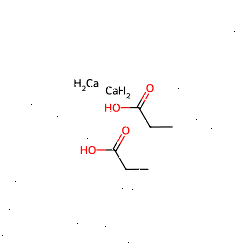 CCC(=O)O.CCC(=O)O.[CaH2].[CaH2]